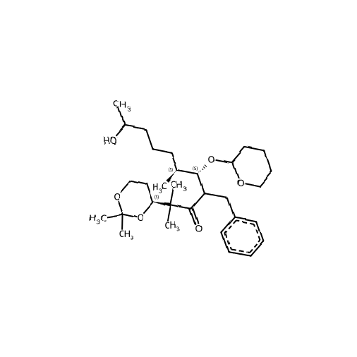 CC(O)CCC[C@H](C)[C@H](OC1CCCCO1)C(Cc1ccccc1)C(=O)C(C)(C)[C@@H]1CCOC(C)(C)O1